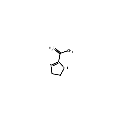 C=C(C)C1=NCCN1